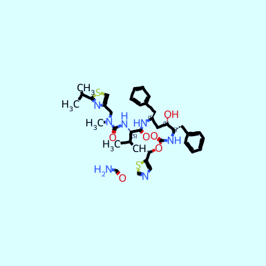 CC(C)c1nc(CN(C)C(=O)N[C@H](C(=O)N[C@@H](Cc2ccccc2)C[C@H](O)[C@H](Cc2ccccc2)NC(=O)OCc2cncs2)C(C)C)cs1.NC=O